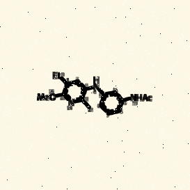 CCc1cc(Nc2cccc(NC(C)=O)c2)c(C)nc1OC